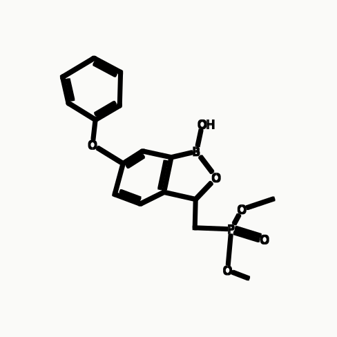 COP(=O)(CC1OB(O)c2cc(Oc3ccccc3)ccc21)OC